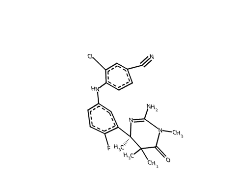 CN1C(=O)C(C)(C)[C@@](C)(c2cc(Nc3ccc(C#N)cc3Cl)ccc2F)N=C1N